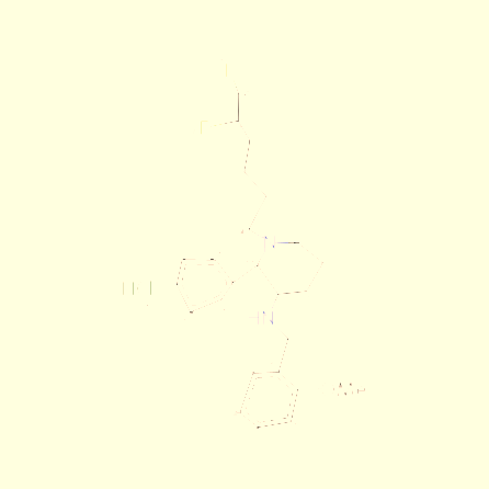 COc1ccccc1CNC1CCCN(CCCCC(F)CF)C1c1ccccc1.Cl